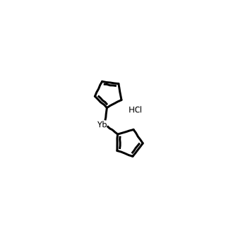 C1=CC[C]([Yb][C]2=CC=CC2)=C1.Cl